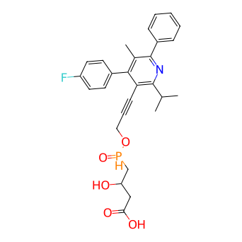 Cc1c(-c2ccccc2)nc(C(C)C)c(C#CCO[PH](=O)CC(O)CC(=O)O)c1-c1ccc(F)cc1